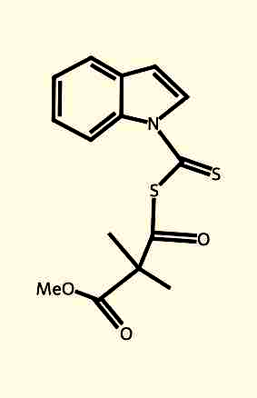 COC(=O)C(C)(C)C(=O)SC(=S)n1ccc2ccccc21